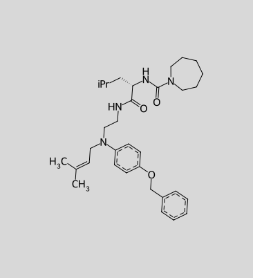 CC(C)=CCN(CCNC(=O)[C@H](CC(C)C)NC(=O)N1CCCCCC1)c1ccc(OCc2ccccc2)cc1